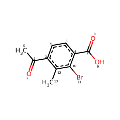 CC(=O)c1ccc(C(=O)O)c(Br)c1C